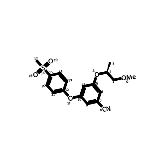 COC[C@H](C)Oc1cc(C#N)cc(Oc2ccc(S(C)(=O)=O)cc2)c1